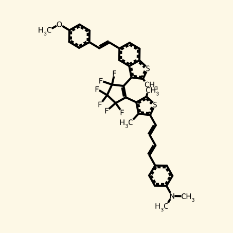 COc1ccc(C=Cc2ccc3sc(C)c(C4=C(c5c(C)sc(C=CC=Cc6ccc(N(C)C)cc6)c5C)C(F)(F)C(F)(F)C4(F)F)c3c2)cc1